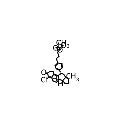 C[C@@]12CCC[C@H]1[C@@H]1CCC3=C(Cl)C(=O)CCC3=C1[C@@H](c1ccc(CCCOS(C)(=O)=O)cc1)C2